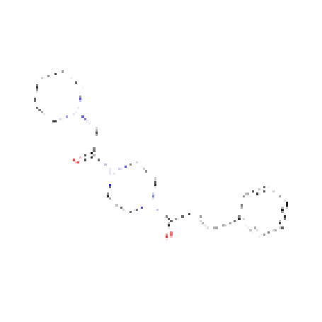 O=C(/C=C/c1ccccc1)N1CCN(C(=O)CN2CCCCC2)CC1